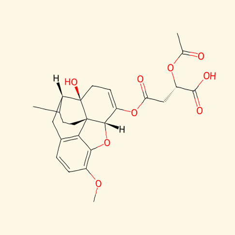 COc1ccc2c3c1O[C@H]1C(OC(=O)C[C@H](OC(C)=O)C(=O)O)=CC[C@@]4(O)[C@@H](C2)C(C)CC[C@]314